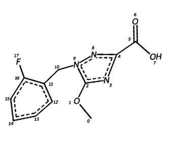 COc1nc(C(=O)O)nn1Cc1ccccc1F